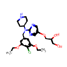 CCOc1cc(CN(c2ncc(OCC(O)CO)cn2)C2CCNCC2)cc(OCC)c1Cl